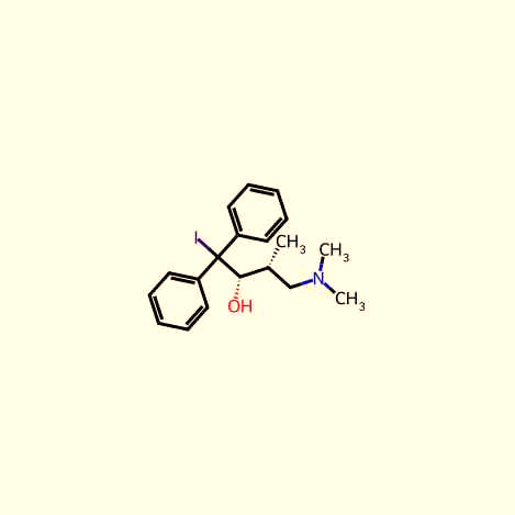 C[C@H](CN(C)C)[C@H](O)C(I)(c1ccccc1)c1ccccc1